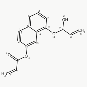 C=CC(=O)Oc1c#cc2cccc(OC(O)C=C)c2c1